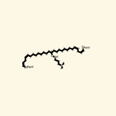 CCCCC/C=C\C/C=C\CCCCCCCCC(CCCCCCCC/C=C\C/C=C\CCCCC)ONCCCN(C)C